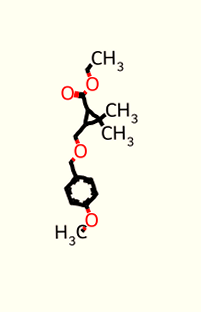 CCOC(=O)C1C(COCc2ccc(OC)cc2)C1(C)C